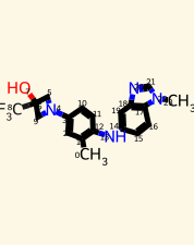 Cc1cc(N2CC(O)(C(F)(F)F)C2)ccc1Nc1ccc2c(c1)ncn2C